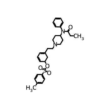 CCC(=O)N(c1ccccc1)C1CCN(CCC2=CC=CC(OS(=O)(=O)c3ccc(C)cc3)C2)CC1